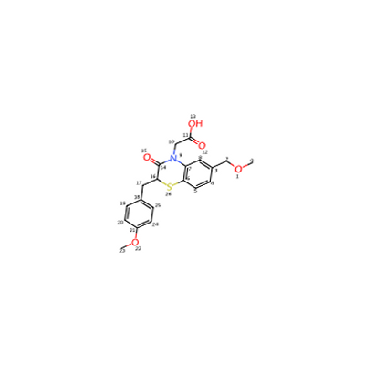 COCc1ccc2c(c1)N(CC(=O)O)C(=O)C(Cc1ccc(OC)cc1)S2